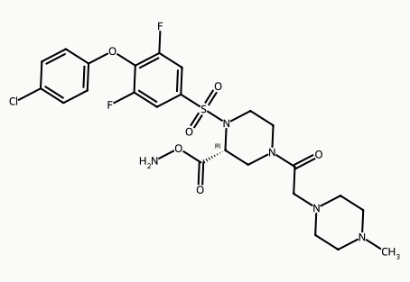 CN1CCN(CC(=O)N2CCN(S(=O)(=O)c3cc(F)c(Oc4ccc(Cl)cc4)c(F)c3)[C@@H](C(=O)ON)C2)CC1